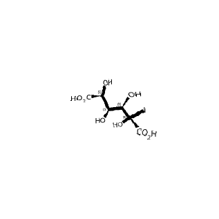 O=C(O)[C@@H](O)[C@H](O)[C@@H](O)[C@@](O)(I)C(=O)O